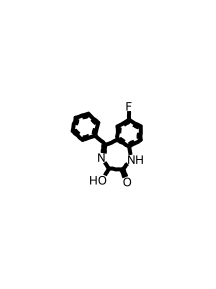 O=C1Nc2ccc(F)cc2C(c2ccccc2)=NC1O